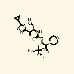 CC[C@H](NC(=O)O[C@@H](CC(C)(C)C)C(=O)N1CCOCC1)C(=O)c1noc(C2CC2)n1